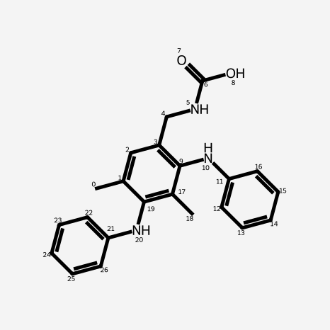 Cc1cc(CNC(=O)O)c(Nc2ccccc2)c(C)c1Nc1ccccc1